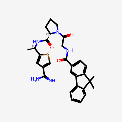 C[C@@H](NC(=O)[C@@H]1CCCN1C(=O)CNC(=O)c1ccc2c(c1)-c1ccccc1C2(C)C)c1cc(C(=N)N)cs1